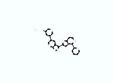 COc1cncc(-c2cnc3[nH]nc(-c4cc5c(-c6ccccn6)nccc5[nH]4)c3c2)c1